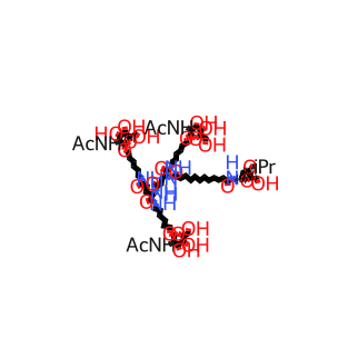 CC(=O)NC1C(OCCCCCCNC(=O)C(CCC(=O)NCCCCCCOC2O[C@H](CO)C(O)C(O)C2NC(C)=O)NC(=O)CCC(NC(=O)CCCCCCCCCCC(=O)NC[C@@H]2C[C@@H](OC(C)C)[C@H](CO)O2)C(=O)NCCCCCCOC2OC(CO)C(O)C(O)C2NC(C)=O)OC(CO)C(O)C1O